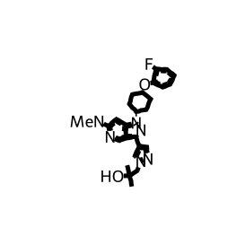 CNc1cc2c(cn1)c(-c1cnn(CC(C)(C)O)c1)nn2[C@H]1CC[C@@H](Oc2ccccc2F)CC1